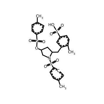 Cc1ccc(S(=O)(=O)OC2CC(Cc3cc(S(=O)(=O)O)ccc3C)N(S(=O)(=O)c3ccc(C)cc3)C2)cc1